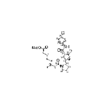 COC(=O)CCCCN(C)CC(=O)N1CCCC1c1cc(C(=O)Nc2ncc(Cl)s2)c(C)s1